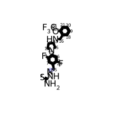 NC(=S)N/N=C/c1cc(F)c(N2CCC(NCc3ccccc3OC(F)(F)F)C2)cc1F